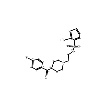 Nc1ccccc1S(=O)(=O)NCCN1CCC(C(=O)c2ccc(F)cc2)CC1